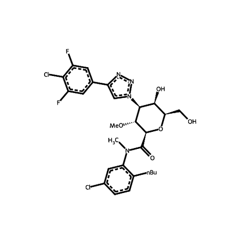 CCCCc1ccc(Cl)cc1N(C)C(=O)[C@@H]1O[C@H](CO)[C@H](O)[C@H](n2cc(-c3cc(F)c(Cl)c(F)c3)nn2)[C@H]1OC